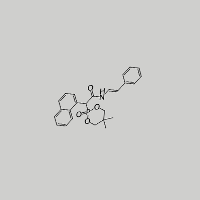 CC1(C)COP(=O)(C(C(=O)NC=Cc2ccccc2)c2cccc3ccccc23)OC1